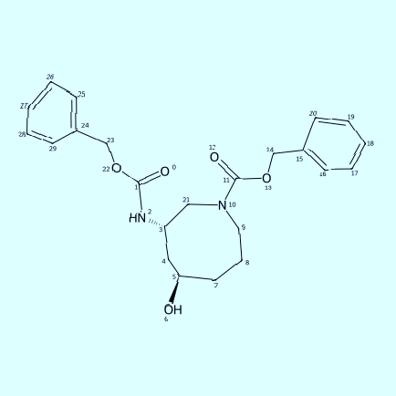 O=C(N[C@H]1C[C@H](O)CCCN(C(=O)OCc2ccccc2)C1)OCc1ccccc1